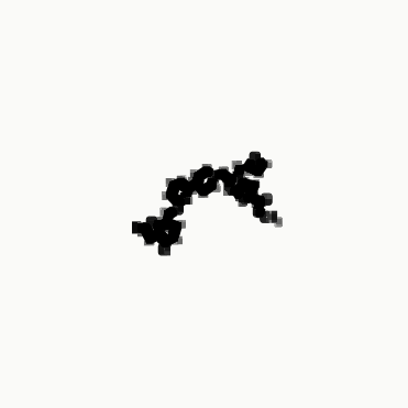 COC(=O)c1cc2c(nc(CN3CC=C(c4cccc(OCc5ccc(Cl)c6cc(F)oc56)n4)CC3)n2C[C@@H]2CCO2)s1